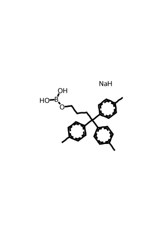 Cc1ccc(C(CCCOB(O)O)(c2ccc(C)cc2)c2ccc(C)cc2)cc1.[NaH]